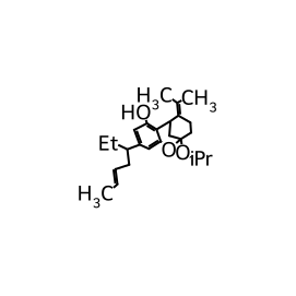 CC=CCC(CC)c1cc(O)c2c(c1)OC1(OC(C)C)CCC(=C(C)C)C2C1